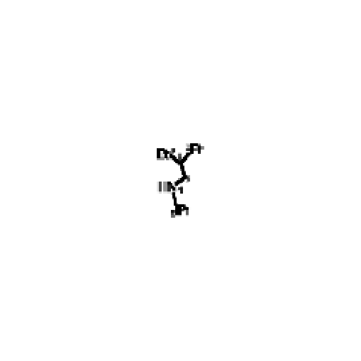 CCC(CC)CNC(C)C